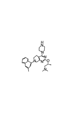 Cc1cc(N2CCc3c(nc(O[C@@H](C)CN(C)C)nc3N3CCNCC3)C2)c2ccccc2c1